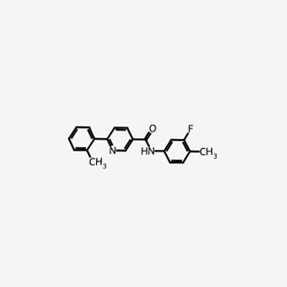 Cc1ccc(NC(=O)c2ccc(-c3ccccc3C)nc2)cc1F